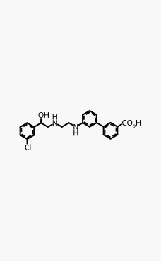 O=C(O)c1cccc(-c2cccc(NCCNCC(O)c3cccc(Cl)c3)c2)c1